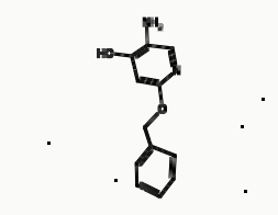 Nc1cnc(OCc2ccccc2)cc1O